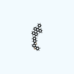 c1ccc(-c2c3ccccc3c(-c3ccc(-c4ccc5cc6c(cc5c4)sc4c6ccc5sc6ccccc6c54)c4ccccc34)c3ccccc23)cc1